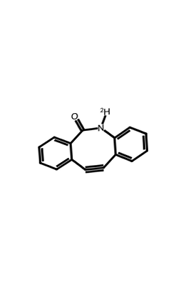 [2H]N1C(=O)c2ccccc2C#Cc2ccccc21